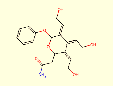 NC(=O)CC1OC(Oc2ccccc2)C(=CCO)C(=CCO)C1=CCO